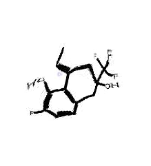 C/C=C1\CC(O)(C(F)(F)F)Cc2ccc(F)c(O)c21